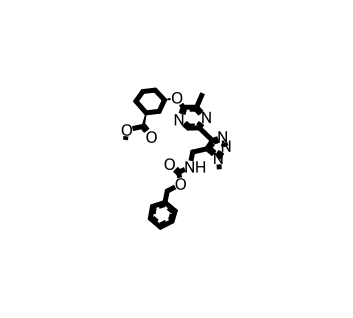 COC(=O)[C@H]1CCC[C@H](Oc2ncc(-c3nnn(C)c3CNC(=O)OCc3ccccc3)nc2C)C1